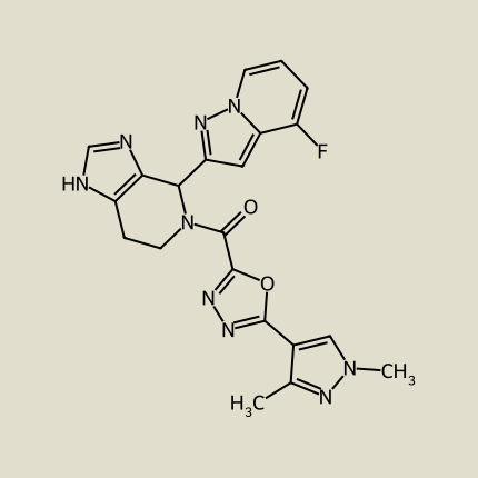 Cc1nn(C)cc1-c1nnc(C(=O)N2CCc3[nH]cnc3C2c2cc3c(F)cccn3n2)o1